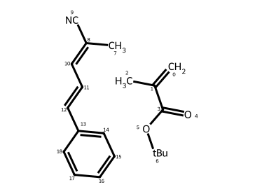 C=C(C)C(=O)OC(C)(C)C.CC(C#N)=CC=Cc1ccccc1